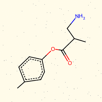 Cc1ccc(OC(=O)C(C)CN)cc1